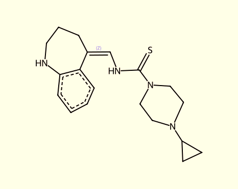 S=C(N/C=C1/CCCNc2ccccc21)N1CCN(C2CC2)CC1